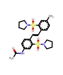 CC(=O)Nc1ccc(/C=C/c2ccc(C)cc2S(=O)(=O)N2CCCC2)c(S(=O)(=O)N2CCCC2)c1